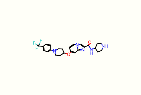 O=C(NC1CCNCC1)c1cn2ccc(OC3CCN(c4ccc(C(F)(F)F)cc4)CC3)cc2n1